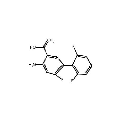 C=C(O)c1nc(-c2c(F)cccc2F)c(F)cc1N